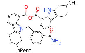 CCCCCC1CCc2c(n(Cc3cccc(C(N)=O)c3)c3c(C(=O)OC(=O)c4cccc5c6c([nH]c45)CC(C)CC6)cccc23)C1